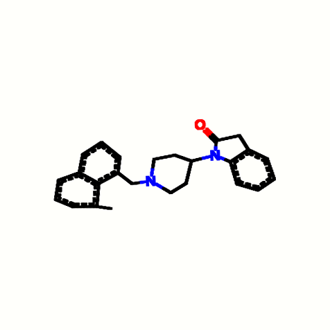 Cc1cccc2cccc(CN3CCC(N4C(=O)Cc5ccccc54)CC3)c12